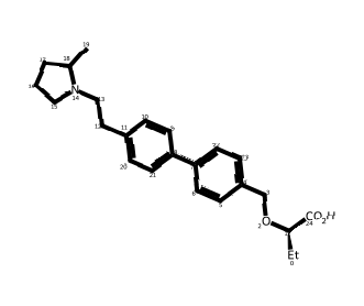 CC[C@@H](OCc1ccc(-c2ccc(CCN3CCCC3C)cc2)cc1)C(=O)O